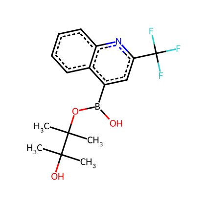 CC(C)(O)C(C)(C)OB(O)c1cc(C(F)(F)F)nc2ccccc12